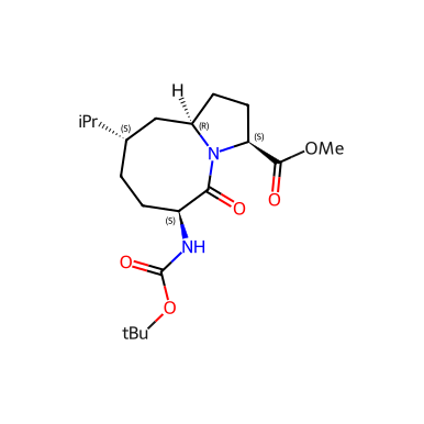 COC(=O)[C@@H]1CC[C@@H]2C[C@@H](C(C)C)CC[C@H](NC(=O)OC(C)(C)C)C(=O)N21